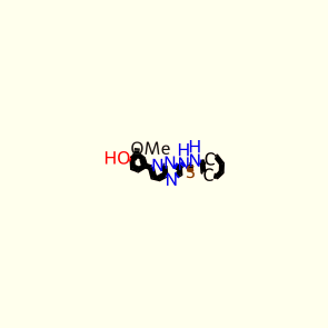 COc1cc(-c2ccc3ncc(NC(=S)NC4CCCCCCC4)nc3n2)ccc1O